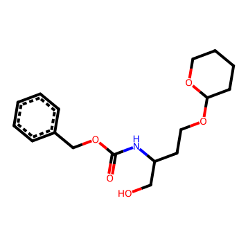 O=C(NC(CO)CCOC1CCCCO1)OCc1ccccc1